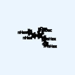 CCCCCCCCCCCCC1=C(c2cc(CCCCCC)c(-c3cc(CCCCCC)cs3)s2)CC(c2cc(CCCCCC)c(-c3cc(CCCCCC)cs3)s2)=C1CCCCCCCCCCCC